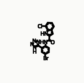 O=C(Nc1ccc(Br)cc1-c1nnn[nH]1)c1cc2cccc(Cl)c2[nH]1